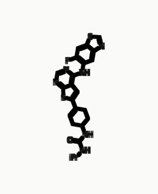 CC(C)NC(=O)NC1CC=C(c2cc3c(Nc4cc5ncsc5cc4F)ncnc3s2)CC1